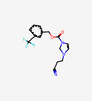 N#CCCN1C=CN(C(=O)OCc2cccc(C(F)(F)F)c2)C1